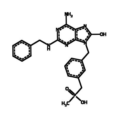 CP(=O)(O)Cc1cccc(Cn2c(O)nc3c(N)nc(NCc4ccccc4)nc32)c1